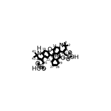 CC1(C)C=C(CS(=O)(=O)O)c2cc3c(cc2=N1)Oc1cc2c(cc1C=3c1ccccc1C(=O)O)C(CS(=O)(=O)O)=CC(C)(C)N2